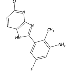 Cc1c(N)cc(F)cc1-c1nc2nc(Cl)ccc2[nH]1